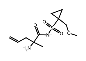 C=CCC(C)(N)C(=O)NS(=O)(=O)C1(COC)CC1